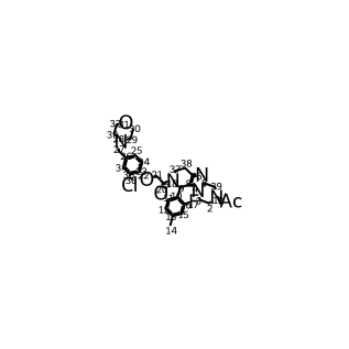 CC(=O)N1CCn2c(nc3c2C(c2ccc(C)cc2F)N(C(=O)COc2ccc(CN4CCOCC4)cc2Cl)CC3)C1